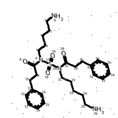 NCCCCCN(C(=O)CCc1ccccc1)S(=O)(=O)N(CCCCCN)C(=O)CCc1ccccc1